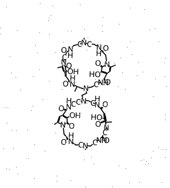 Cc1cc2c(O)c(=O)n1CC(=O)NCCN(C)CCNC(=O)Cn1c(C)cc(c(O)c1=O)C(=O)NCCN(CCN1CCNC(=O)c3cc(C)n(c(=O)c3O)CC(=O)NCCN(C)CCNC(=O)Cn3c(C)cc(c(O)c3=O)C(=O)NC(C)C1)CCNC2=O